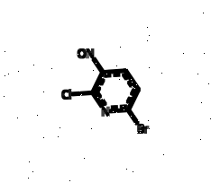 O=Nc1ccc(Br)nc1Cl